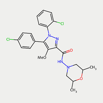 COc1c(C(=O)NN2CC(C)OC(C)C2)nn(-c2ccccc2Cl)c1-c1ccc(Cl)cc1